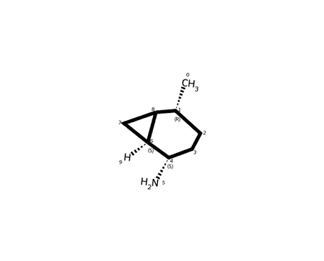 C[C@@H]1CC[C@H](N)[C@H]2CC12